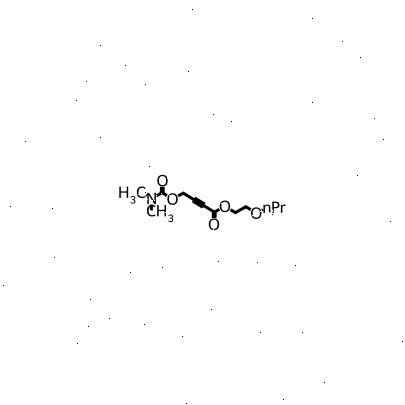 CCCOCCOC(=O)C#CCOC(=O)N(C)C